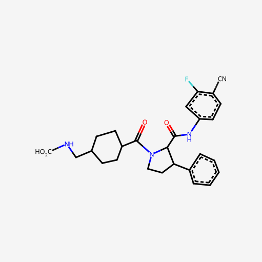 N#Cc1ccc(NC(=O)C2C(c3ccccc3)CCN2C(=O)C2CCC(CNC(=O)O)CC2)cc1F